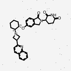 O=C1CCC(N2Cc3cc(O[C@H]4CCCC[C@@H]4N4CC(c5ccc6ccccc6n5)C4)ccc3C2=O)C(=O)N1